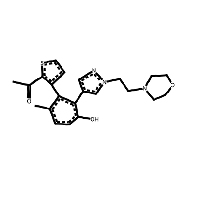 CC(=O)c1sccc1-c1c(C)ccc(O)c1-c1cnn(CCN2CCOCC2)c1